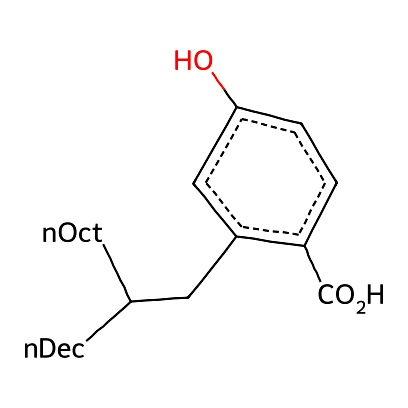 CCCCCCCCCCC(CCCCCCCC)Cc1cc(O)ccc1C(=O)O